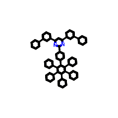 c1ccc(-c2cccc(-c3cc(-c4cccc(-c5ccccc5)c4)nc(-c4ccc(-c5c(-c6ccccc6)c(-c6ccccc6)c(-c6ccccc6)c(-c6ccccc6)c5-c5ccccc5)cc4)n3)c2)cc1